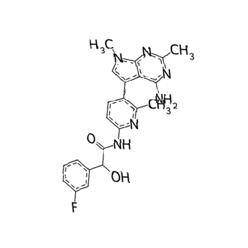 Cc1nc(N)c2c(-c3ccc(NC(=O)C(O)c4cccc(F)c4)nc3C)cn(C)c2n1